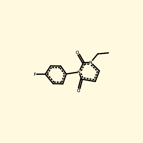 CCn1ccc(=O)n(-c2ccc(F)cc2)c1=O